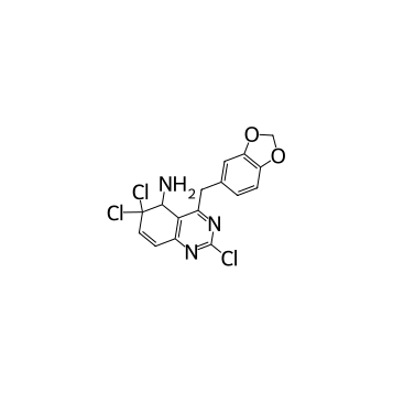 NC1c2c(nc(Cl)nc2Cc2ccc3c(c2)OCO3)C=CC1(Cl)Cl